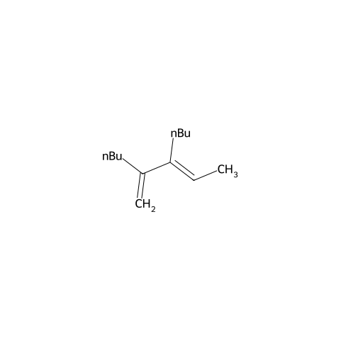 C=C(CCCC)/C(=C/C)CCCC